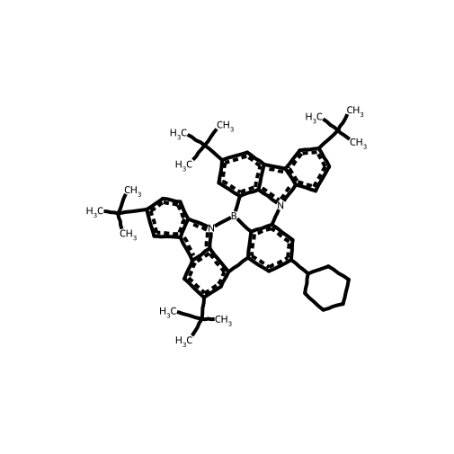 CC(C)(C)c1ccc2c(c1)c1cc(C(C)(C)C)cc3c1n2B1c2c-3cc(C3CCCCC3)cc2-n2c3ccc(C(C)(C)C)cc3c3cc(C(C)(C)C)cc1c32